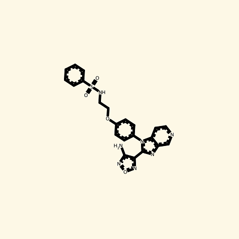 Nc1nonc1-c1nc2cnccc2n1-c1ccc(OCCNS(=O)(=O)c2ccccc2)cc1